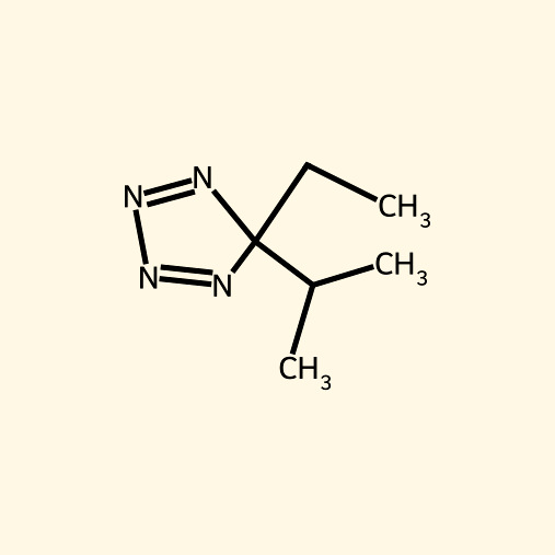 CCC1(C(C)C)N=NN=N1